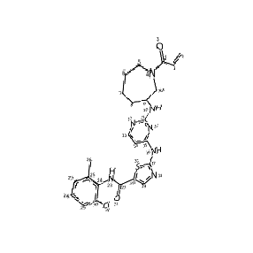 C=CC(=O)N1CCCCC(Nc2nccc(Nc3ncc(C(=O)Nc4c(C)cccc4Cl)s3)n2)C1